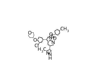 Cc1ccc(S(=O)(=O)n2cc(-c3ccc(OC4CCOCC4)c(Cl)c3)c3cc(-c4c[nH]nc4C)cnc32)cc1